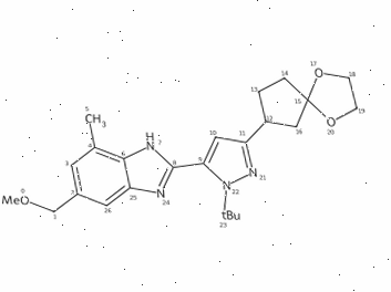 COCc1cc(C)c2[nH]c(-c3cc(C4CCC5(C4)OCCO5)nn3C(C)(C)C)nc2c1